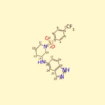 O=S(=O)(c1ccc(C(F)(F)F)cc1)N1CCCC(Nc2ccc3[nH]ncc3c2)C1